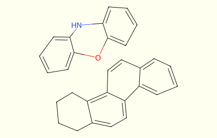 c1ccc2c(c1)Nc1ccccc1O2.c1ccc2c(c1)ccc1c3c(ccc12)CCCC3